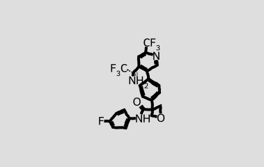 N[C@@H](c1cc(C(F)(F)F)ncc1-c1ccc(C2(C(=O)Nc3ccc(F)cc3)COC2)cc1)C(F)(F)F